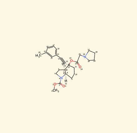 COC(=O)N1CC[C@@H]2[C@H]1CCC[C@]2(C#Cc1cccc(C)c1)OC(=O)CN1CCCC1